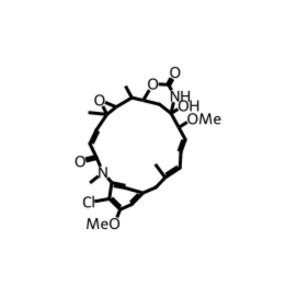 COc1cc2cc(c1Cl)N(C)C(=O)/C=C\C1(C)OC1C(C)C1CC(O)(NC(=O)O1)C(OC)/C=C/C=C(\C)C2